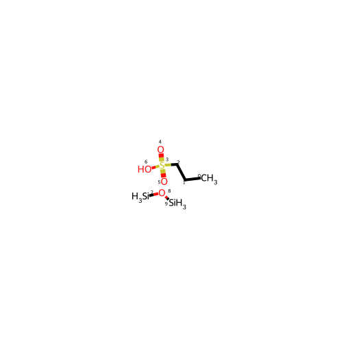 CCCS(=O)(=O)O.[SiH3]O[SiH3]